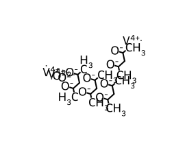 CC([O-])CC(C)[O-].CC([O-])CC(C)[O-].CC([O-])CC(C)[O-].CC([O-])CC(C)[O-].[O-2].[O-2].[V+4].[V+4].[V+4]